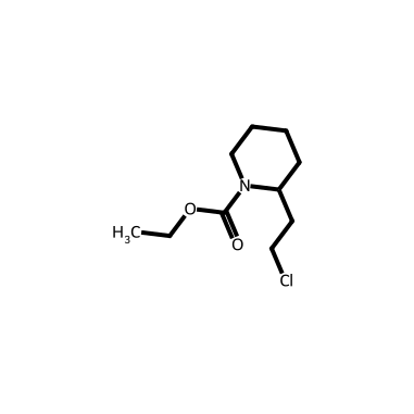 CCOC(=O)N1CCCCC1CCCl